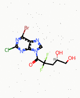 O=C(n1cnc2c(Br)nc(Cl)nc21)C(F)(F)C[C@H](O)CO